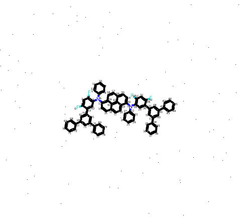 Fc1cc(F)c(N(c2ccccc2)c2ccc3ccc4c(N(c5ccccc5)c5cc(-c6cc(-c7ccccc7)cc(-c7ccccc7)c6)c(F)cc5F)ccc5ccc2c3c54)cc1-c1cc(-c2ccccc2)cc(-c2ccccc2)c1